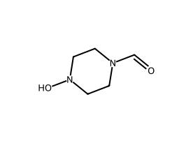 O=CN1CCN(O)CC1